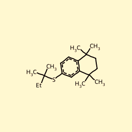 CCC(C)(C)Sc1ccc2c(c1)C(C)(C)CCC2(C)C